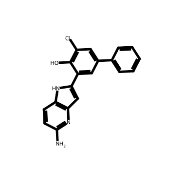 Nc1ccc2[nH]c(-c3cc(-c4ccccc4)cc(Cl)c3O)cc2n1